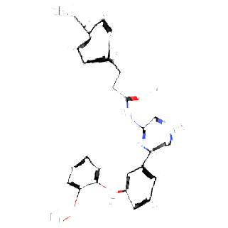 CCOc1ccccc1Oc1cccc(-c2cncc(NC(=O)CCc3ccc(C(C)(C)C)cc3)n2)c1